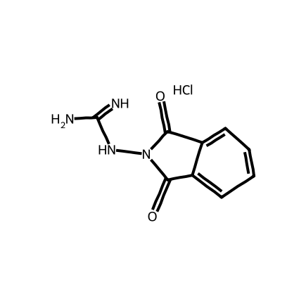 Cl.N=C(N)NN1C(=O)c2ccccc2C1=O